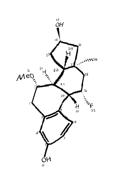 CO[C@H]1Cc2cc(O)ccc2[C@@H]2[C@@H]1[C@@H]1C[C@@H](O)C[C@@]1(C)C[C@@H]2F